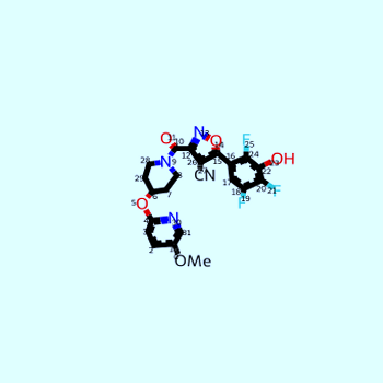 COc1ccc(OC2CCN(C(=O)c3noc(-c4cc(F)c(F)c(O)c4F)c3C#N)CC2)nc1